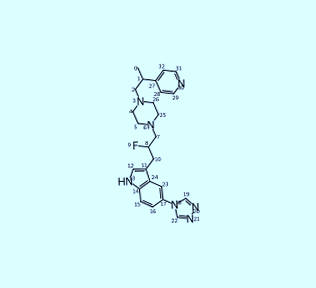 CC(CN1CCN(CC(F)Cc2c[nH]c3ccc(-n4cnnc4)cc23)CC1)c1ccncc1